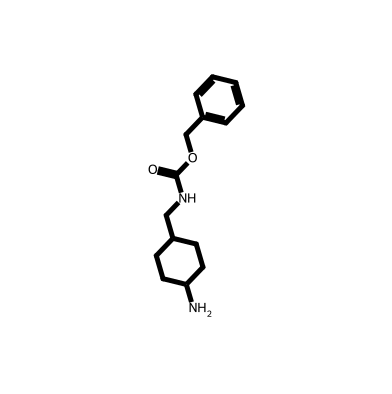 NC1CCC(CNC(=O)OCc2ccccc2)CC1